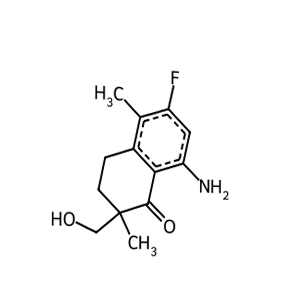 Cc1c(F)cc(N)c2c1CCC(C)(CO)C2=O